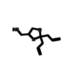 C=CCC1(CC=C)OCC(CO)O1